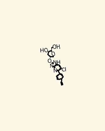 C#Cc1ccc(-c2nc3nc(O[C@H]4CO[C@H](CO)[C@@H](O)C4)[nH]c3cc2Cl)cc1